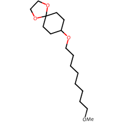 COCCCCCCCCOC1CCC2(CC1)OCCO2